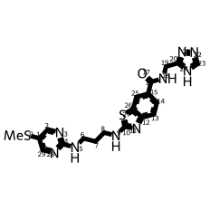 CSc1cnc(NCCCNc2nc3ccc(C(=O)NCc4nnc[nH]4)cc3s2)nc1